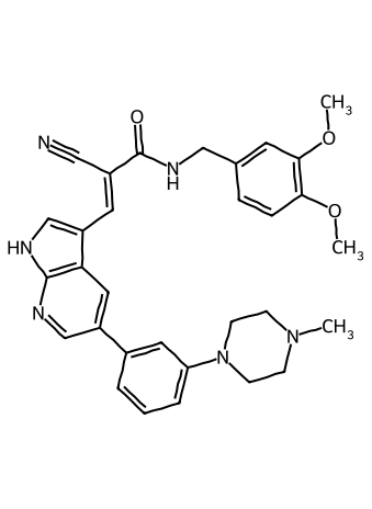 COc1ccc(CNC(=O)/C(C#N)=C/c2c[nH]c3ncc(-c4cccc(N5CCN(C)CC5)c4)cc23)cc1OC